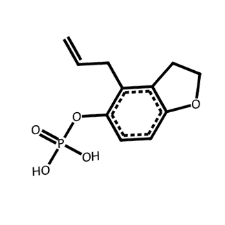 C=CCc1c(OP(=O)(O)O)ccc2c1CCO2